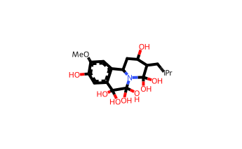 COc1cc2c(cc1O)C(O)(O)C(O)(O)N1C2CC(O)C(CC(C)C)C1(O)O